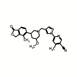 COC1CC(c2ccc3c(c2C)COC3=O)CN(Cc2cnn(-c3cc(C)c(C#N)cn3)c2)C1